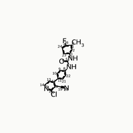 Cc1cc(NC(=O)Nc2ccc(-c3ccnc(Cl)c3C#N)cc2)ccc1F